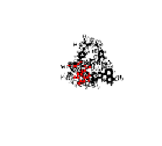 CC[C@@]1(O)C(=O)OCc2c1cc1n(c2=O)Cc2c-1nc1cc(F)c(C)c3c1c2[C@@H](NC(=O)OCc1ccc(NC(=O)[C@H](C)NC(=O)[C@@H](NC(=O)c2ccc(-c4nnc(S(C)(=O)=O)o4)cc2)C(C)C)cc1CN(C)C(=O)CN(C)C(=O)CN(C)C(=O)CN(C)C(=O)CN(C)C(=O)CN(C)C(=O)CN(C)C(=O)CN(C)C(=O)CN(C)C(=O)CN(C)C(=O)CN(C)C(C)=O)CC3